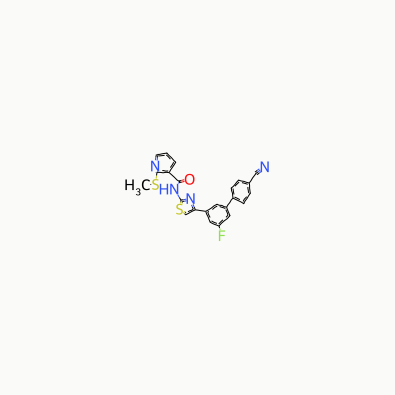 CSc1ncccc1C(=O)Nc1nc(-c2cc(F)cc(-c3ccc(C#N)cc3)c2)cs1